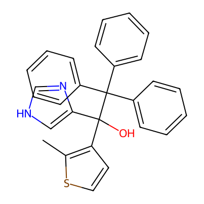 Cc1sccc1C(O)(c1c[nH]cn1)C(c1ccccc1)(c1ccccc1)c1ccccc1